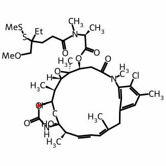 CCC(CCC(=O)N(C)[C@@H](C)C(=O)O[C@H]1CC(=O)N(C)c2cc(cc(C)c2Cl)C/C(C)=C/C=C/[C@@H](C)[C@@]2(O)C[C@H](OC(=O)N2)[C@@H](C)[C@@H]2O[C@@]12C)(COC)SSC